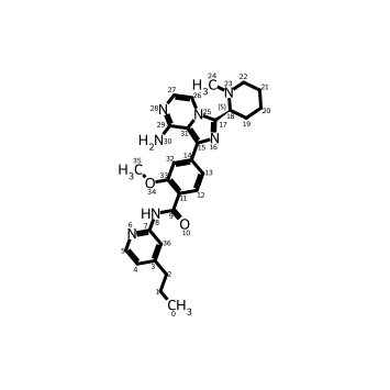 CCCc1ccnc(NC(=O)c2ccc(-c3nc([C@@H]4CCCCN4C)n4ccnc(N)c34)cc2OC)c1